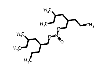 CCCC(CO[N+](=O)OCC(CCC)CC(C)CC)CC(C)CC